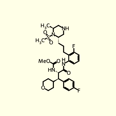 COC(=O)N[C@H](C(=O)Nc1cccc(F)c1CCC[C@H]1CNC[C@H](C)N1S(C)(=O)=O)[C@@H](c1ccc(F)cc1)C1CCOCC1